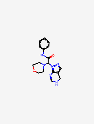 O=C(Nc1ccccc1)C(N1CCOCC1)n1ncc2c1N=CNC2